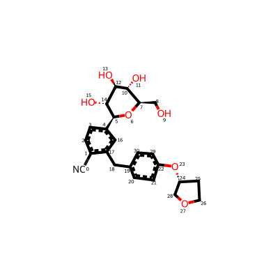 N#Cc1ccc([C@@H]2O[C@H](CO)[C@@H](O)[C@H](O)[C@H]2O)cc1Cc1ccc(O[C@@H]2CCOC2)cc1